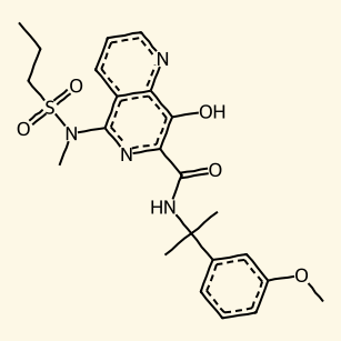 CCCS(=O)(=O)N(C)c1nc(C(=O)NC(C)(C)c2cccc(OC)c2)c(O)c2ncccc12